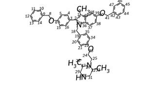 Cc1c(-c2ccc(OCc3ccccc3)cc2)n(Cc2ccc(OCCN3[C@H](C)CNC[C@@H]3C)cc2)c2ccc(OCc3ccccc3)cc12